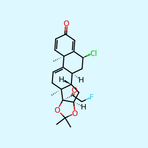 CC1(C)O[C@@H]2C[C@H]3[C@@H]4C[C@H](Cl)C5=CC(=O)C=C[C@]5(C)C4=CC[C@]3(C)[C@]2(C(=O)CF)O1